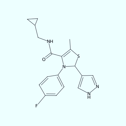 CC1=C(C(=O)NCC2CC2)N(c2ccc(F)cc2)C(c2cn[nH]c2)S1